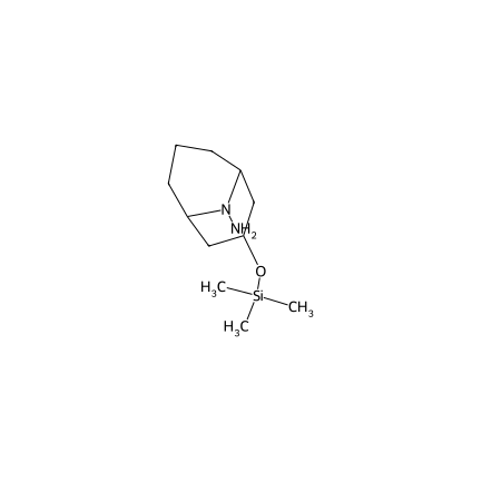 C[Si](C)(C)OC1CC2CCCC(C1)N2N